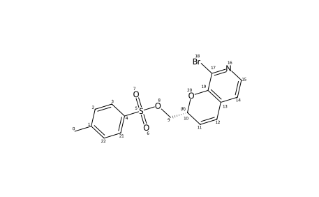 Cc1ccc(S(=O)(=O)OC[C@H]2C=Cc3ccnc(Br)c3O2)cc1